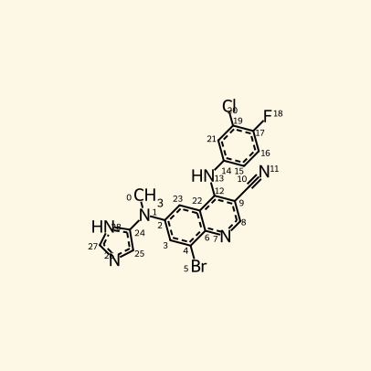 CN(c1cc(Br)c2ncc(C#N)c(Nc3ccc(F)c(Cl)c3)c2c1)c1cnc[nH]1